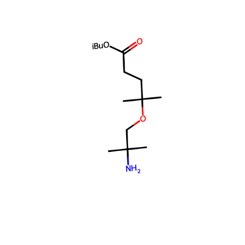 CC(C)COC(=O)CCC(C)(C)OCC(C)(C)N